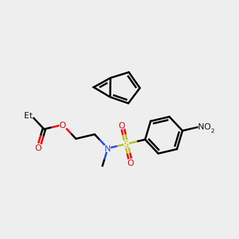 CCC(=O)OCCN(C)S(=O)(=O)c1ccc([N+](=O)[O-])cc1.c1cc2cc-2c1